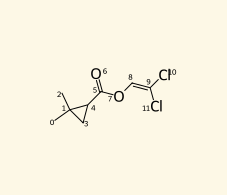 CC1(C)CC1C(=O)OC=C(Cl)Cl